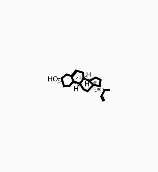 C=CC(C)[C@H]1CC[C@H]2[C@@H]3CC=C4C[C@@H](O)CC[C@]4(C)[C@H]3CC[C@]12C